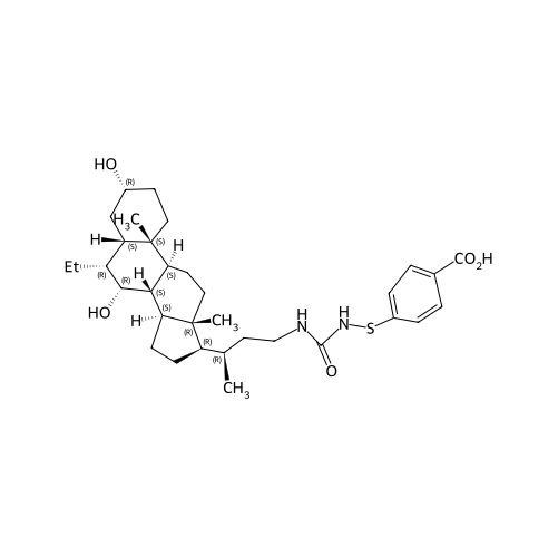 CC[C@H]1[C@@H](O)[C@@H]2[C@H](CC[C@]3(C)[C@@H]([C@H](C)CCNC(=O)NSc4ccc(C(=O)O)cc4)CC[C@@H]23)[C@@]2(C)CC[C@@H](O)C[C@@H]12